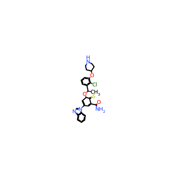 C[C@@H](OC1C=C(n2cnc3ccccc32)C=C(C(N)=O)C1=S)c1cccc(OC2CCNCC2)c1Cl